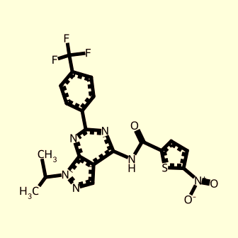 CC(C)n1ncc2c(NC(=O)c3ccc([N+](=O)[O-])s3)nc(-c3ccc(C(F)(F)F)cc3)nc21